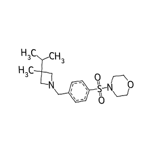 CC(C)C1(C)CN(Cc2ccc(S(=O)(=O)N3CCOCC3)cc2)C1